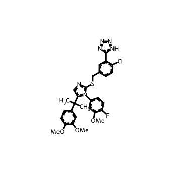 COc1cc(-n2c(C(C)(C)c3ccc(OC)c(OC)c3)cnc2SCc2ccc(Cl)c(-c3nnn[nH]3)c2)ccc1F